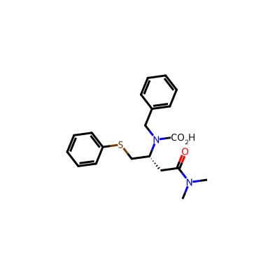 CN(C)C(=O)C[C@H](CSc1ccccc1)N(Cc1ccccc1)C(=O)O